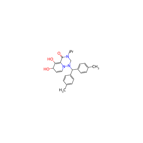 Cc1ccc(C(c2ccc(C)cc2)N2CN(C(C)C)C(=O)C3=C(O)C(O)C=CN32)cc1